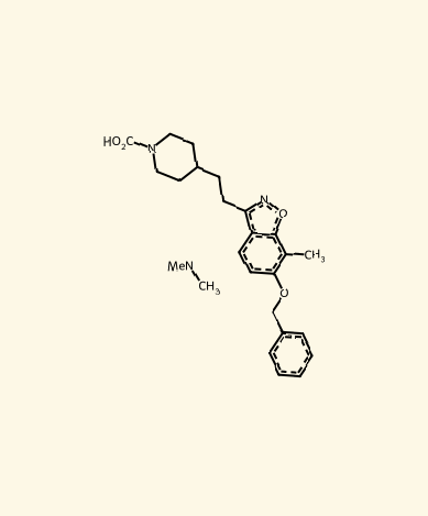 CNC.Cc1c(OCc2ccccc2)ccc2c(CCC3CCN(C(=O)O)CC3)noc12